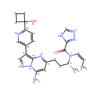 C/C=C\N(C(=O)c1nnc[nH]1)[C@H](C)CCc1cc(N)n2ncc(-c3ccc(C4(O)CCC4)nc3)c2n1